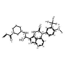 C=CC(=O)N1CCC[C@@H](NC(O)c2sc3nccc4c3c2NC(=O)N4c2ccc(OC)c(C(F)(F)F)c2)C1